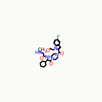 CNCC(=O)NC(C(=O)N1CCN(C(=O)c2cc3cc(F)ccc3n2CC=O)CC1)C1CCCCC1